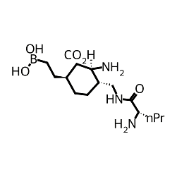 CCC[C@H](N)C(=O)NC[C@@H]1CC[C@@H](CCB(O)O)C[C@]1(N)C(=O)O